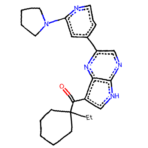 CCC1(C(=O)c2c[nH]c3ncc(-c4ccnc(N5CCCC5)c4)nc23)CCCCC1